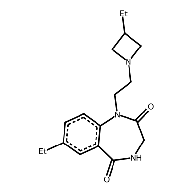 CCc1ccc2c(c1)C(=O)NCC(=O)N2CCN1CC(CC)C1